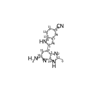 Cc1nc2c(-c3cc4cc(C#N)ccc4[nH]3)cc(N)nc2[nH]1